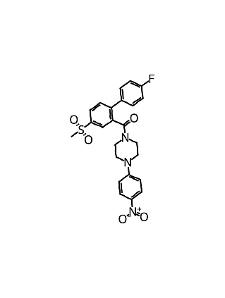 CS(=O)(=O)c1ccc(-c2ccc(F)cc2)c(C(=O)N2CCN(c3ccc([N+](=O)[O-])cc3)CC2)c1